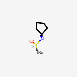 CC(C)(C)[S@@+]([O-])N=C1CCCC1